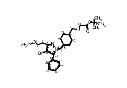 COCCc1nn(CC2CCC(COCC(=O)OC(C)(C)C)CC2)c(-c2ccccc2)c1Br